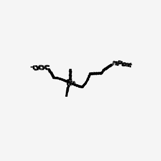 CCCCCCCC[N+](C)(C)CC(=O)[O-]